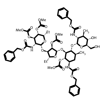 CC[C@@H]1O[C@H](O[C@H]2[C@@H](OC(=O)OC)[C@H](O[C@@H]3[C@@H](OC(=O)OC)[C@H](NC(=O)OCc4ccccc4)C[C@H](C)[C@H]3O[C@H]3O[C@H](CO)[C@@H](O)[C@H](C)[C@H]3NC(=O)OCc3ccccc3)O[C@@H]2CC)[C@H](NC(=O)OCc2ccccc2)[C@@H](OC(=O)OC)[C@@H]1OC(=O)OC